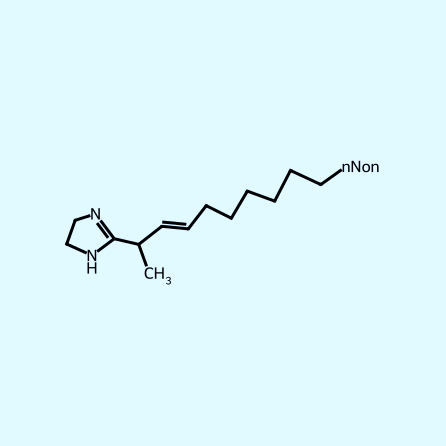 CCCCCCCCCCCCCCCC=CC(C)C1=NCCN1